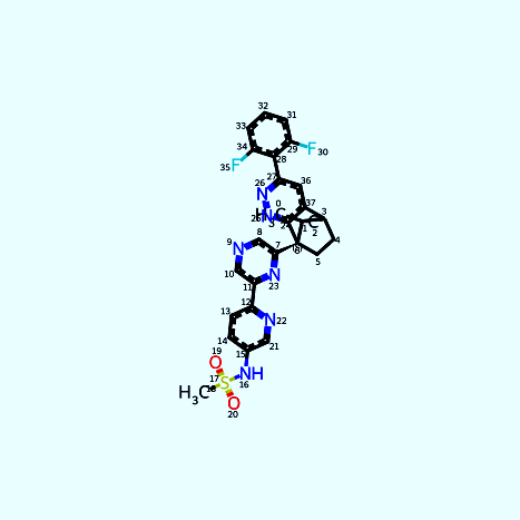 CC12CC13CC[C@]2(c1cncc(-c2ccc(NS(C)(=O)=O)cn2)n1)c1nnc(-c2c(F)cccc2F)cc13